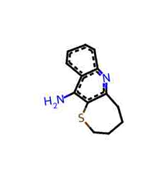 Nc1c2c(nc3ccccc13)CCCCS2